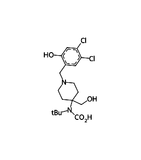 CC(C)(C)N(C(=O)O)C1(CO)CCN(Cc2cc(Cl)c(Cl)cc2O)CC1